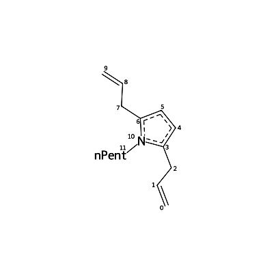 C=CCc1ccc(CC=C)n1CCCCC